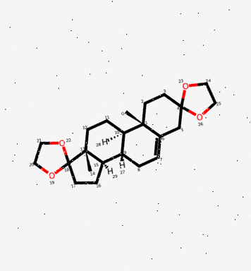 C[C@@]12CCC3(CC1=CC[C@H]1[C@H]2CC[C@]2(C)[C@@H]1CCC21OCCO1)OCCO3